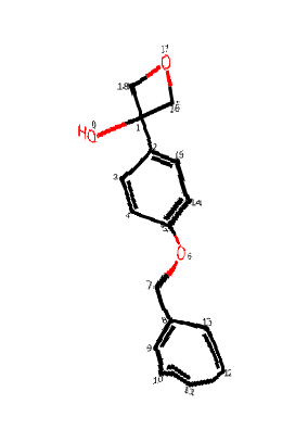 OC1(c2ccc(OCc3ccccc3)cc2)[CH]OC1